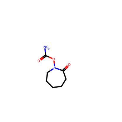 NC(=O)ON1CCCCCC1=O